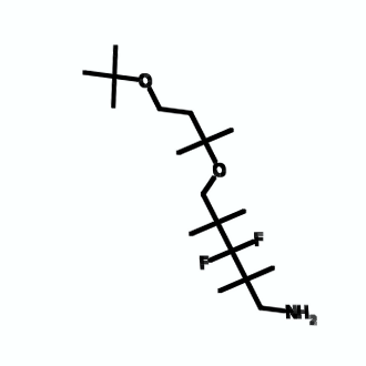 CC(C)(C)OCCC(C)(C)OCC(C)(C)C(F)(F)C(C)(C)CN